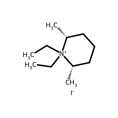 CC[N+]1(CC)[C@H](C)CCC[C@@H]1C.[I-]